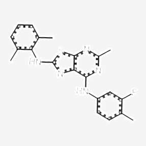 Cc1nc(Nc2ccc(C)c(F)c2)c2nc(Nc3c(C)cccc3C)sc2n1